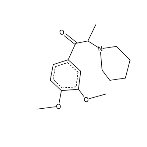 COc1ccc(C(=O)C(C)N2CCCCC2)cc1OC